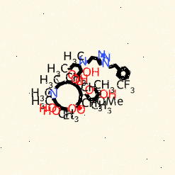 CC[C@H]1OC(=O)[C@H](C)[C@@H](C2C[C@@](C)(OC)[C@@H](O)[C@H](C)O2)[C@H](C)[C@@H](O[C@@H]2O[C@H](C)C[C@H](N(C)CCc3cn(CCc4cccc(C(F)(F)F)c4)nn3)[C@H]2O)[C@](C)(O)C[C@@H](C)CN(C)[C@H](C)[C@@H](O)[C@]1(C)O